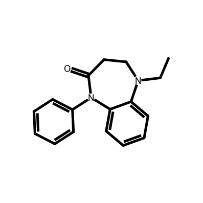 CCN1CCC(=O)N(c2ccccc2)c2ccccc21